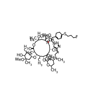 CC[C@H]1OC(=O)[C@H](C)[C@@H](O[C@H]2C[C@@](C)(OC)[C@@H](O)[C@H](C)O2)[C@H](C)[C@@H](O[C@@H]2O[C@H](C)C[C@H](N(C)CCc3cn([C@H](CF)[C@H](OC)C4=CC=C(SCCCF)CC4)nn3)[C@H]2O)[C@](C)(O)C[C@@H](C)CN(C)[C@H](C)[C@@H](O)[C@]1(C)O